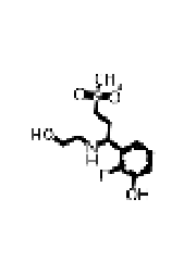 CS(=O)(=O)CCC(NCCO)c1cccc(O)c1F